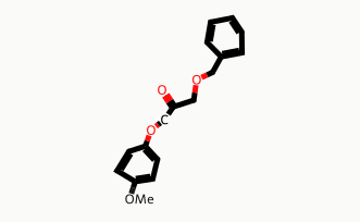 COc1ccc(OCC(=O)COCc2ccccc2)cc1